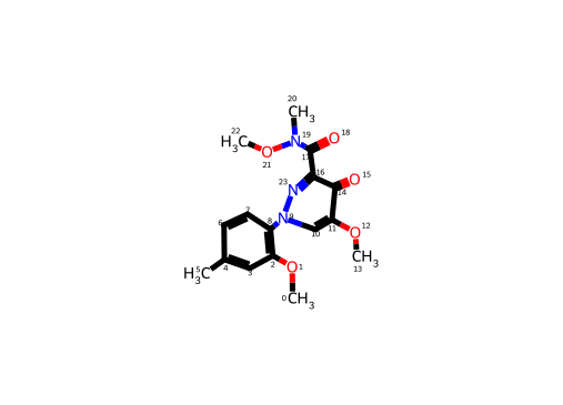 COc1cc(C)ccc1-n1cc(OC)c(=O)c(C(=O)N(C)OC)n1